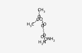 CCCCCOc1ccc(/C=C/C(=O)OCCCCCCOC(=O)c2cc(N)cc(N)c2)cc1OCCCCC